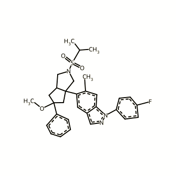 COC1(c2ccccc2)CC2CN(S(=O)(=O)C(C)C)CC2(c2cc3cnn(-c4ccc(F)cc4)c3cc2C)C1